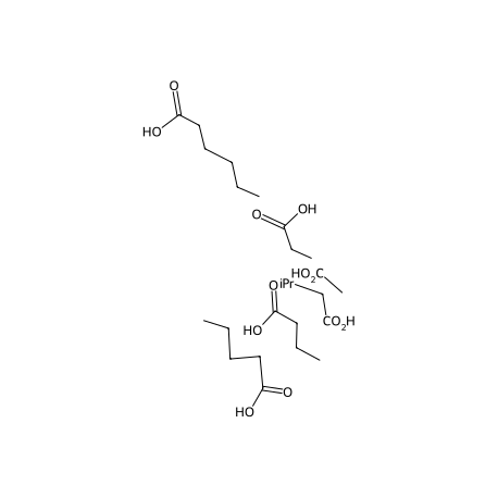 CC(=O)O.CC(C)CC(=O)O.CCC(=O)O.CCCC(=O)O.CCCCC(=O)O.CCCCCC(=O)O